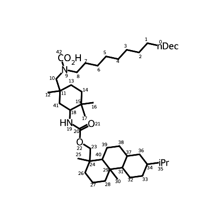 CCCCCCCCCCCCCCCCCCN(CC1(C)CCC(C)(C)C(NC(=O)OCC2(C)CCCC3(C)C4CCC(C(C)C)CC4CCC23)C1)C(=O)O